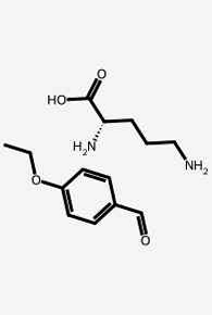 CCOc1ccc(C=O)cc1.NCCC[C@H](N)C(=O)O